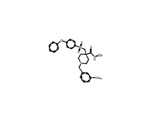 COc1cccc(CN2CCC(CS(=O)(=O)c3ccc(Oc4ccccc4)cc3)(C(=O)NO)CC2)c1